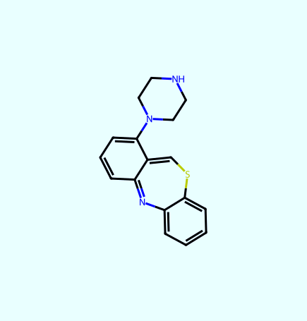 C1=c2c(N3CCNCC3)cccc2=Nc2ccccc2S1